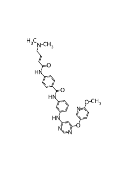 COc1ccc(Oc2cc(Nc3cccc(NC(=O)c4ccc(NC(=O)C=CCN(C)C)cc4)c3)ncn2)cn1